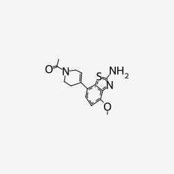 COc1ccc(C2=CCN(C(C)=O)CC2)c2sc(N)nc12